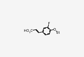 CCOc1ccc(/C=C/C(=O)O)cc1F